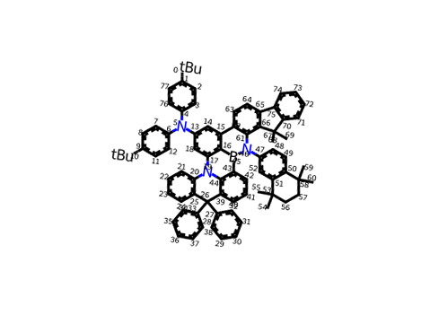 CC(C)(C)c1ccc(N(c2ccc(C(C)(C)C)cc2)c2cc3c4c(c2)N2c5ccccc5C(c5ccccc5)(c5ccccc5)c5cccc(c52)B4N(c2ccc4c(c2)C(C)(C)CCC4(C)C)c2c-3ccc3c2C(C)(C)c2ccccc2-3)cc1